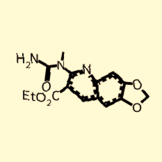 CCOC(=O)c1cc2cc3c(cc2nc1N(C)C(N)=O)OCO3